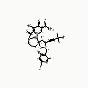 C[C@H]1CC[C@]2(CC(C#CC(C)(C)O)N(Cc3c(F)cc(F)cc3F)O2)[C@H]2CN1C(=O)c1c(O)c(=O)c(C(N)=O)cn12